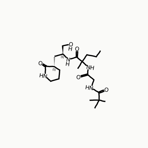 CCCC(C)(NC(=O)CNC(=O)C(C)(C)C)C(=O)N[C@H](CO)C[C@@H]1CCCNC1=O